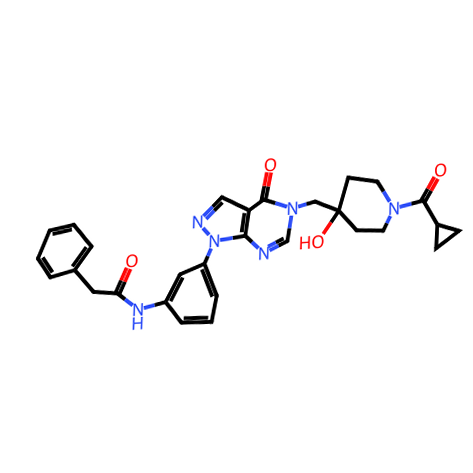 O=C(Cc1ccccc1)Nc1cccc(-n2ncc3c(=O)n(CC4(O)CCN(C(=O)C5CC5)CC4)cnc32)c1